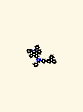 c1ccc(C2=C(c3ccccc3)C(c3ccc(-c4nc(-c5ccccc5)cc(-c5ccc(-c6ccc7c8ccccc8c8ccccc8c7c6)cc5)n4)cc3)=C(c3ccccc3)C(c3ccccc3)N2)cc1